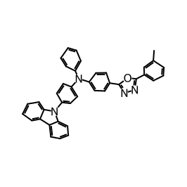 Cc1cccc(-c2nnc(-c3ccc(N(c4ccccc4)c4ccc(-n5c6ccccc6c6ccccc65)cc4)cc3)o2)c1